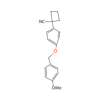 COc1ccc(COc2ccc(C3(C#N)CCC3)cc2)cc1